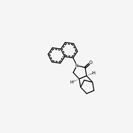 O=C1[C@H]2C3CCC(C3)[C@H]2CN1c1cccc2ccccc12